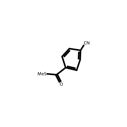 CSC(=O)c1ccc(C#N)cc1